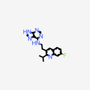 CC(C)c1nc2cc(F)ccc2cc1CCNc1ncnc2[nH]cnc12